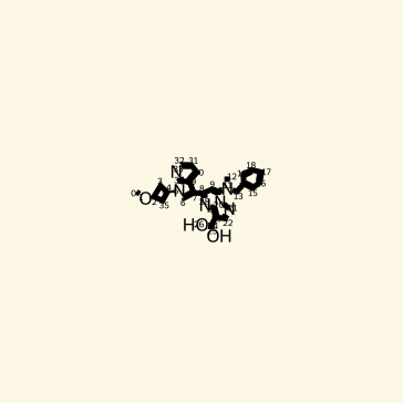 CO[C@H]1C[C@@H](n2cc(-c3cc(N(C)Cc4ccccc4)n4ncc(C(O)O)c4n3)c3cccnc32)C1